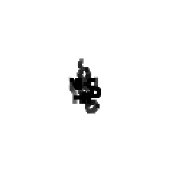 CCc1ccc(C=CC(=O)Nc2ccccc2)c(C2CCCCN2C)c1.Cl